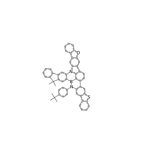 CC(C)(C)c1ccc(N2B3c4cc5c(cc4-n4c6cc7c(cc6c6ccc(c3c64)-c3cc4sc6ccccc6c4cc32)oc2ccccc27)-c2ccccc2C5(C)C)cc1